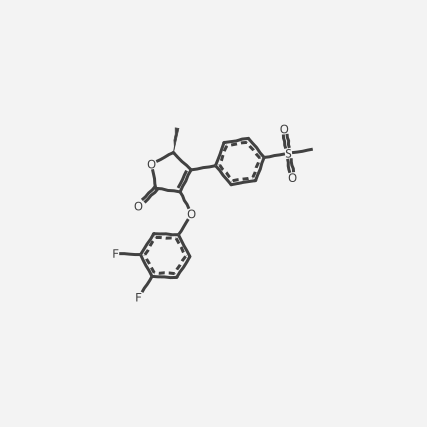 C[C@@H]1OC(=O)C(Oc2ccc(F)c(F)c2)=C1c1ccc(S(C)(=O)=O)cc1